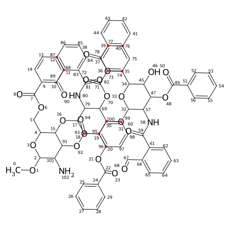 COC1OC(COC(=O)c2ccccc2)C(OC2OC(COC(=O)c3ccccc3)C(OC3OC(COC(=O)c4ccccc4)C(O)C(OC(=O)c4ccccc4)C3NC(=O)c3ccccc3C=O)C(OC(=O)c3ccccc3)C2NC(=O)c2ccccc2C=O)C(OC(=O)c2ccccc2)C1N